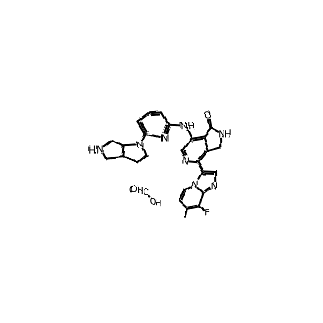 Cc1ccn2c(-c3ncc(Nc4cccc(N5CCC6CNCC65)n4)c4c3CNC4=O)cnc2c1F.O=CO